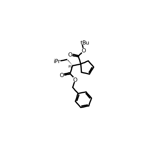 CC(C)C[C@@H](C(=O)OCc1ccccc1)C1(C(=O)OC(C)(C)C)CC=CC1